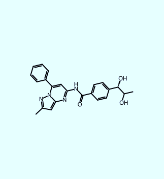 Cc1cc2nc(NC(=O)c3ccc([C@@H](O)C(C)O)cc3)cc(-c3ccccc3)n2n1